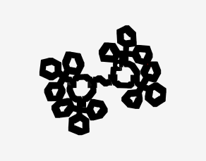 c1ccc(C(c2ccccc2)(c2ccccc2)N2CCN(CCN3CCN(C(c4ccccc4)(c4ccccc4)c4ccccc4)CCN(C(c4ccccc4)(c4ccccc4)c4ccccc4)CC3)CCN(C(c3ccccc3)(c3ccccc3)c3ccccc3)CC2)cc1